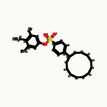 CC(C)c1cc(OS(=O)(=O)c2ccc(C3CCCCCCCCCCC3)cc2)cc(C(C)C)c1S(=O)(=O)O